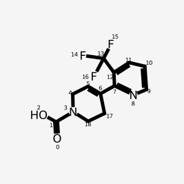 O=C(O)N1CC=C(c2ncccc2C(F)(F)F)CC1